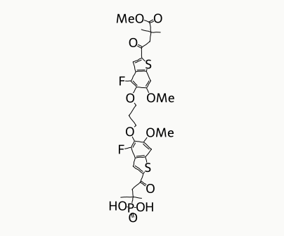 COC(=O)C(C)(C)CC(=O)c1cc2c(F)c(OCCCOc3c(OC)cc4sc(C(=O)CC(C)(C)P(=O)(O)O)cc4c3F)c(OC)cc2s1